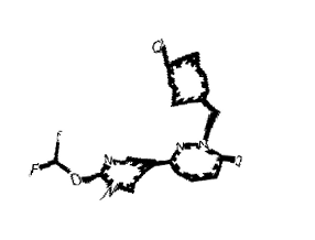 O=c1ccc(-c2cnc(OC(F)F)nc2)nn1Cc1ccc(Cl)cc1